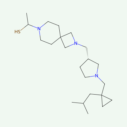 CC(C)CC1(CN2CC[C@H](CN3CC4(CCN(C(C)S)CC4)C3)C2)CC1